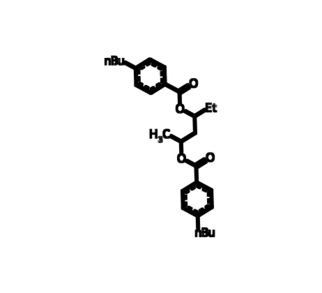 CCCCc1ccc(C(=O)OC(C)CC(CC)OC(=O)c2ccc(CCCC)cc2)cc1